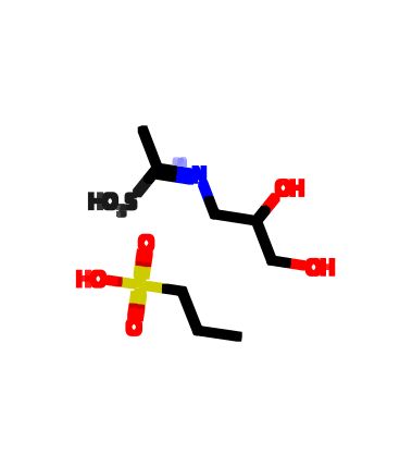 C/C(=N/CC(O)CO)S(=O)(=O)O.CCCS(=O)(=O)O